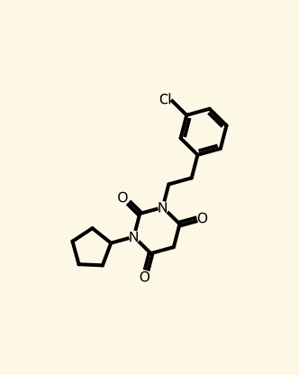 O=C1CC(=O)N(C2CCCC2)C(=O)N1CCc1cccc(Cl)c1